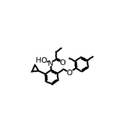 CCC(=O)N(O)c1c(COc2ccc(C)cc2C)cccc1C1CC1